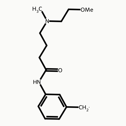 [CH2]c1cccc(NC(=O)CCCN(C)CCOC)c1